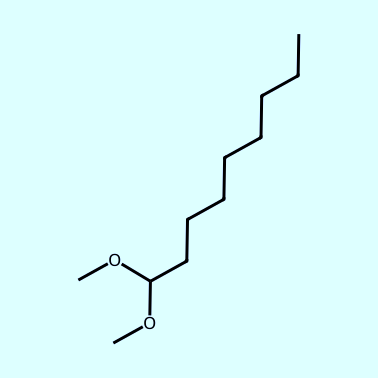 CCCCCCCCC(OC)OC